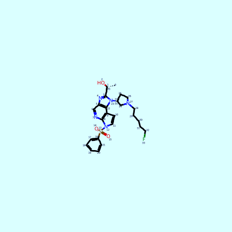 C[C@@H](O)c1nc2cnc3c(ccn3S(=O)(=O)c3ccccc3)c2n1[C@H]1CCN(CCCCCF)C1